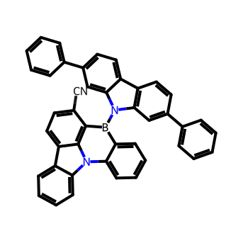 N#Cc1ccc2c3ccccc3n3c2c1B(n1c2cc(-c4ccccc4)ccc2c2ccc(-c4ccccc4)cc21)c1ccccc1-3